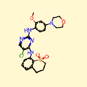 COc1cc(N2CCOCC2)ccc1Nc1ncc(Cl)c(Nc2cccc3c2S(=O)(=O)CCC3)n1